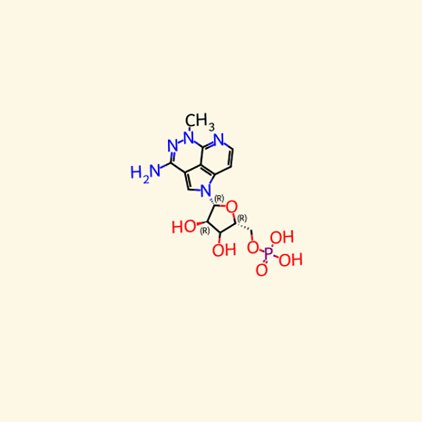 CN1N=C(N)c2cn([C@@H]3O[C@H](COP(=O)(O)O)C(O)[C@H]3O)c3ccnc1c23